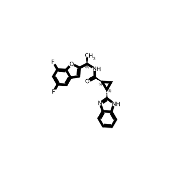 C[C@@H](NC(=O)[C@H]1C[C@@H]1c1nc2ccccc2[nH]1)c1cc2cc(F)cc(F)c2o1